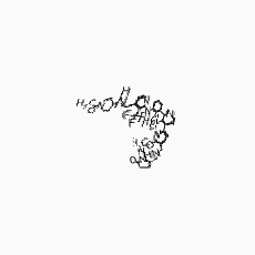 COc1nc(-c2ccnc(-c3cccc(Nc4nccc(CNC5CCN(C(C)=O)CC5)c4C(F)(F)F)c3Cl)c2Cl)ccc1CNC[C@H]1CCC(=O)N1